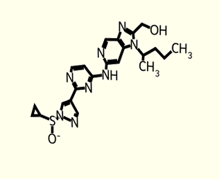 CCCC(C)n1c(CO)nc2cnc(Nc3ccnc(-c4cnn([S+]([O-])C5CC5)c4)n3)cc21